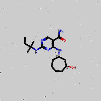 CCC(C)(C)Nc1ncc(C(N)=O)c(N[C@@H]2CCCC[C@H](O)C2)n1